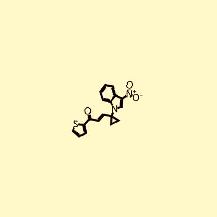 O=C(/C=C/C1(n2cc([N+](=O)[O-])c3ccccc32)CC1)c1cccs1